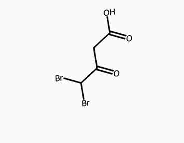 O=C(O)CC(=O)C(Br)Br